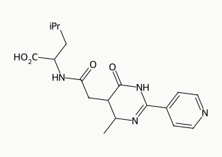 CC(C)CC(NC(=O)CC1C(=O)NC(c2ccncc2)=NC1C)C(=O)O